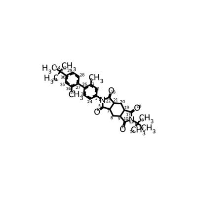 Cc1cc(N2C(=O)C3CC4C(=O)N(C(C)(C)C)C(=O)C4CC3C2=O)ccc1-c1ccc(C(C)(C)C)cc1C